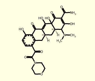 CN(C)C1C(O)=C(C(N)=O)C(=O)C2(O)C(O)=C3C(=O)c4c(O)ccc(C(=O)C(=O)N5CCOCC5)c4C[C@@H]3C[C@H]12